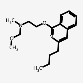 CCCCc1cc2ccccc2c(OCCN(C)COC)n1